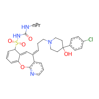 CCCNC(=O)NS(=O)(=O)C1C=CC=C2Oc3ncccc3C(=CCCN3CCC(O)(c4ccc(Cl)cc4)CC3)C=C21